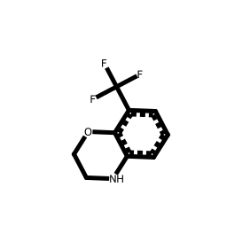 FC(F)(F)c1cccc2c1OCCN2